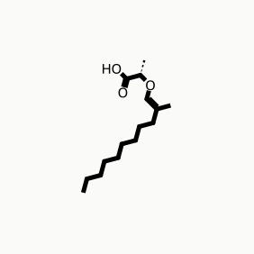 CCCCCCCCCC(C)=CO[C@@H](C)C(=O)O